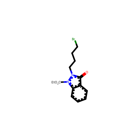 CCOC(=O)n1c2ccccc2c(=O)n1CCCCBr